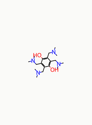 CN(C)Cc1c(O)c(CN(C)C)c(CN(C)C)c(O)c1CN(C)C